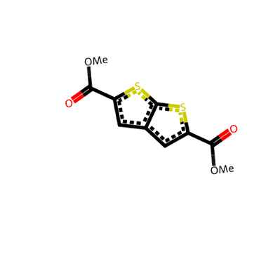 COC(=O)c1cc2cc(C(=O)OC)sc2s1